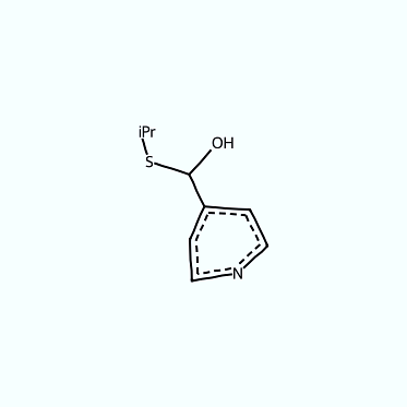 CC(C)SC(O)c1ccncc1